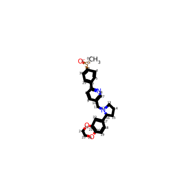 C[S+]([O-])c1ccc(-c2ccc(CN3CCCC3c3ccc4c(c3)OCCO4)cn2)cc1